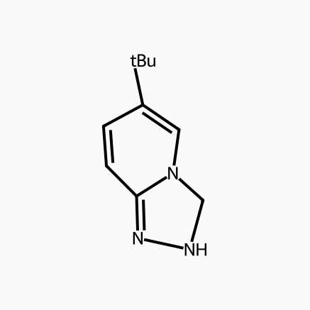 CC(C)(C)C1=CN2CNN=C2C=C1